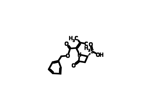 CC(C)=C(C(=O)OCc1ccccc1)N1C(=O)C[C@H]1S(=O)O